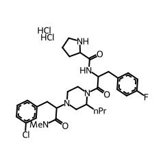 CCCC1CN(C(Cc2cccc(Cl)c2)C(=O)NC)CCN1C(=O)C(Cc1ccc(F)cc1)NC(=O)C1CCCN1.Cl.Cl